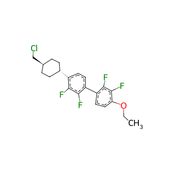 CCOc1ccc(-c2ccc([C@H]3CC[C@H](CCl)CC3)c(F)c2F)c(F)c1F